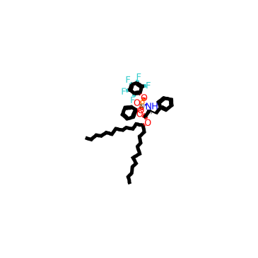 CCCCCCCCCCCC(CCCCCCCCCCC)OC(=O)[C@H](Cc1ccccc1)N[P@](=O)(Oc1ccccc1)Oc1c(F)c(F)c(F)c(F)c1F